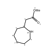 COC(=O)CC1CC[N]CCN1